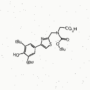 CC(C)(C)OC(=O)N(CC(=O)O)Cc1nc(-c2cc(C(C)(C)C)c(O)c(C(C)(C)C)c2)cs1